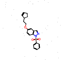 O=S(=O)(c1ccccc1)n1ncc2cc(OCCC3C#CCC3)ccc21